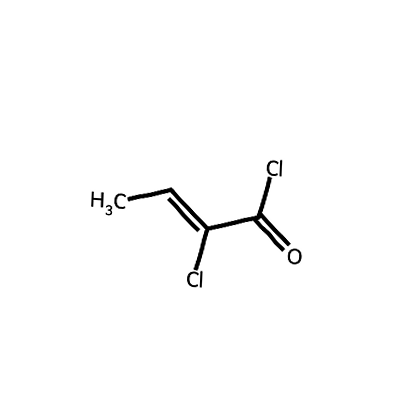 C/C=C(\Cl)C(=O)Cl